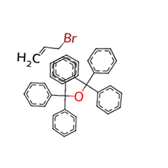 C=CCBr.c1ccc(C(OC(c2ccccc2)(c2ccccc2)c2ccccc2)(c2ccccc2)c2ccccc2)cc1